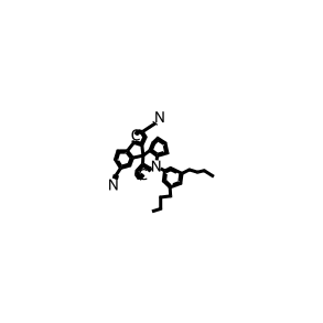 CCCCc1cc(CCCC)cc(N2c3ccccc3C3(c4cc(C#N)ccc4-c4ccc(C#N)cc43)c3ccccc32)c1